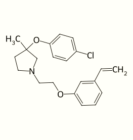 C=Cc1cccc(OCCN2CCC(C)(Oc3ccc(Cl)cc3)C2)c1